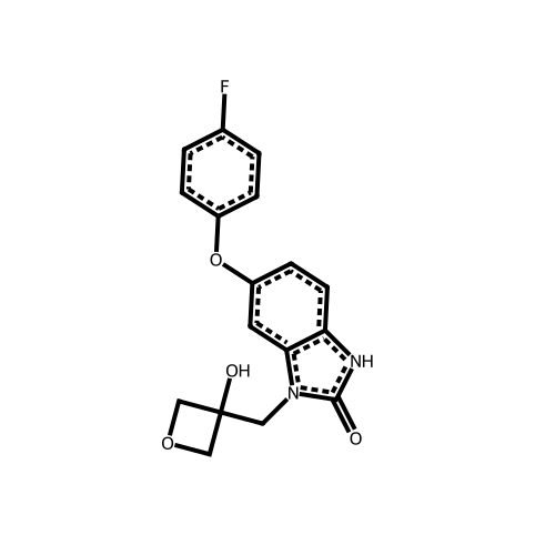 O=c1[nH]c2ccc(Oc3ccc(F)cc3)cc2n1CC1(O)COC1